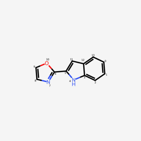 c1ccc2[nH]c(-c3ncco3)cc2c1